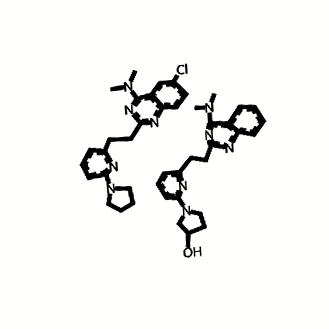 CN(C)c1nc(CCc2cccc(N3CCC(O)C3)n2)nc2ccccc12.CN(C)c1nc(CCc2cccc(N3CCCC3)n2)nc2ccc(Cl)cc12